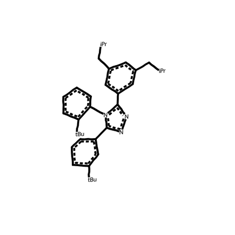 CC(C)Cc1cc(CC(C)C)cc(-c2nnc(-c3cccc(C(C)(C)C)c3)n2-c2ccccc2C(C)(C)C)c1